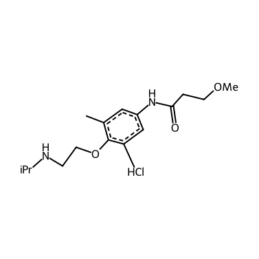 COCCC(=O)Nc1cc(C)c(OCCNC(C)C)c(C)c1.Cl